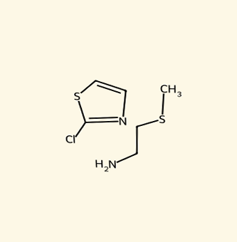 CSCCN.Clc1nccs1